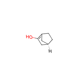 OC1=C2CC[C@@H](C1)C2